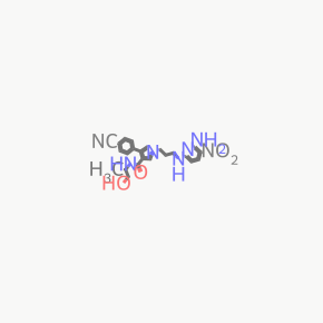 C[C@H](CO)NC(=O)c1cn(CCCNc2ccc([N+](=O)[O-])c(N)n2)cc1-c1ccc(C#N)cc1